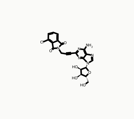 Nc1nc(C#CCN2C(=O)c3cccc(Cl)c3C2=O)nc2c1ncn2[C@@H]1O[C@H](CO)[C@@H](O)[C@H]1O